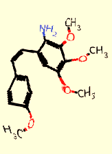 COc1ccc(/C=C\c2cc(OC)c(OC)c(OC)c2N)cc1